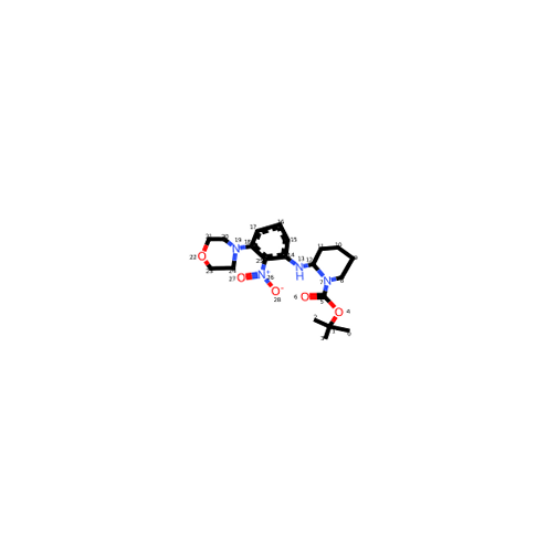 CC(C)(C)OC(=O)N1CCCCC1Nc1cccc(N2CCOCC2)c1[N+](=O)[O-]